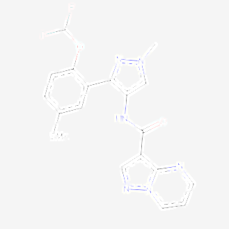 CSc1ccc(OC(F)F)c(-c2nn(C)cc2NC(=O)c2cnn3cccnc23)c1